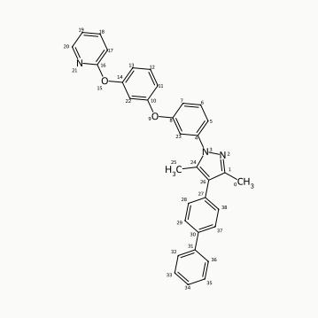 Cc1nn(-c2cccc(Oc3cccc(Oc4ccccn4)c3)c2)c(C)c1-c1ccc(-c2ccccc2)cc1